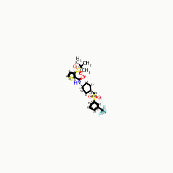 CC(C)(C)S(=O)(=O)c1ccsc1C(=O)N[C@H]1CC[C@H](CS(=O)(=O)c2cccc(C(F)(F)F)c2)CC1